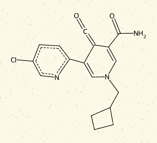 NC(=O)C1=CN(CC2CCC2)C=C(c2ccc(Cl)cn2)C1=C=O